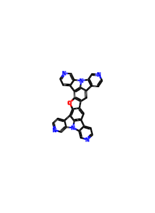 c1cc2c3cc4c5cc6c7ccncc7n7c8cnccc8c(c5oc4c4c5ccncc5n(c2cn1)c34)c67